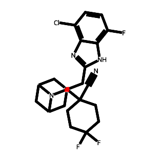 N#CC1(CN2C3CC2CN(Cc2nc4c(Cl)ccc(F)c4[nH]2)C3)CCC(F)(F)CC1